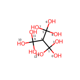 OC(O)(O)C(C(O)(O)O)C(O)(O)O